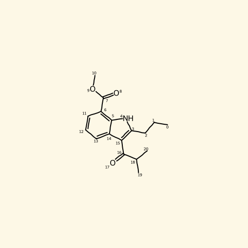 CCCc1[nH]c2c(C(=O)OC)cccc2c1C(=O)C(C)C